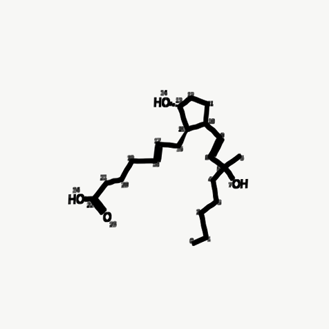 CCCCCC(C)(O)C=CC1CC[C@@H](O)[C@@H]1CC=CCCCC(=O)O